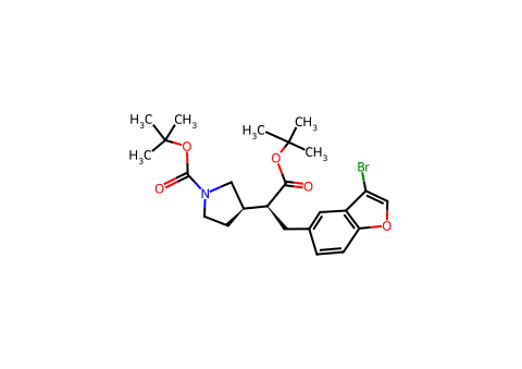 CC(C)(C)OC(=O)[C@@H](Cc1ccc2occ(Br)c2c1)[C@H]1CCN(C(=O)OC(C)(C)C)C1